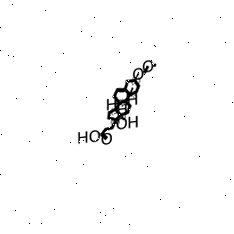 COCO[C@H]1CC[C@@]2(C)C(=CC[C@@H]3[C@@H]2CC[C@@]2(C)[C@H]3CC[C@@]2(O)CCC(=O)O)C1